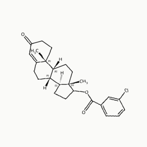 C[C@]12CCC(=O)C=C1CC[C@@H]1[C@H]2CC[C@]2(C)C(OC(=O)c3cccc(Cl)c3)CC[C@@H]12